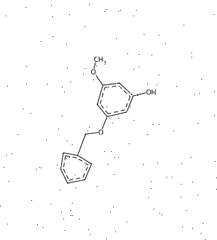 COc1cc(O)cc(OCc2ccccc2)c1